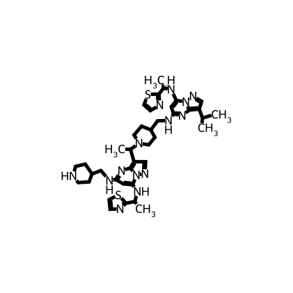 CC(C)c1cnn2c(N[C@H](C)c3nccs3)cc(NCC3CCN(C(C)c4cnn5c(NC(C)c6nccs6)cc(NCC6CCNCC6)nc45)CC3)nc12